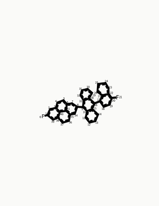 Fc1cc2ccc3cc(-c4c5ccccc5c(-c5ccc(F)c6ccccc56)c5ccccc45)cc4ccc(c1)c2c34